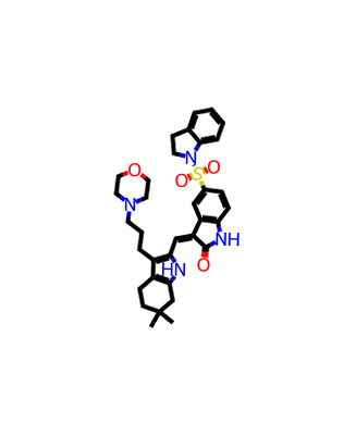 CC1(C)CCc2c([nH]c(/C=C3\C(=O)Nc4ccc(S(=O)(=O)N5CCc6ccccc65)cc43)c2CCCN2CCOCC2)C1